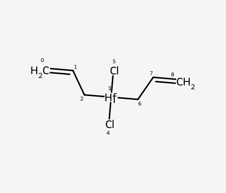 C=C[CH2][Hf]([Cl])([Cl])[CH2]C=C